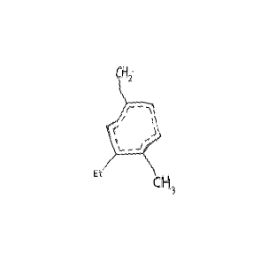 [CH2]c1ccc(C)c(CC)c1